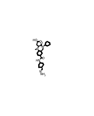 CN1c2ccc(C(=O)Nc3ccc(C=NN)cc3)cc2CN(c2ccccc2)C(=O)C1CC(=O)O